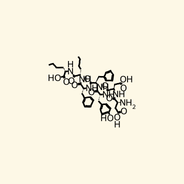 CCCC[C@H](NC(=O)[C@H](CCCC)NC(=O)[C@@H](Cc1ccccc1)NC(=O)[C@@H](Cc1ccccc1)NC(=O)[C@@H](Cc1ccc(O)cc1)NC(=O)[C@@H](CC(=O)O)NC(=O)[C@H](N)CC(=O)O)C(=O)O